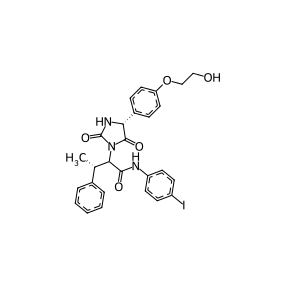 C[C@@H](c1ccccc1)C(C(=O)Nc1ccc(I)cc1)N1C(=O)N[C@H](c2ccc(OCCO)cc2)C1=O